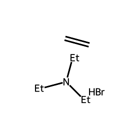 Br.C=C.CCN(CC)CC